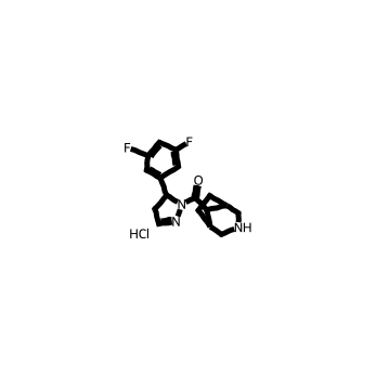 Cl.O=C(C1C2CCC1CNC2)N1N=CCC1c1cc(F)cc(F)c1